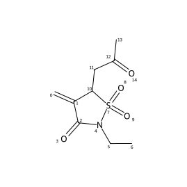 C=C1C(=O)N(CC)S(=O)(=O)C1CC(C)=O